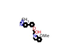 COc1cccc2c1CN(CC(O)COc1cccc(-c3ccc4ncn(C)c4c3)c1)CC2